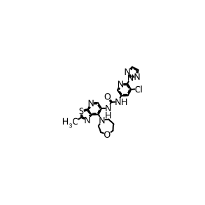 Cc1nc2c(N3CCCOCC3)c(NC(=O)Nc3cnc(-n4nccn4)c(Cl)c3)cnc2s1